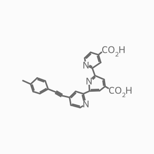 Cc1ccc(C#Cc2ccnc(-c3cc(C(=O)O)cc(-c4cc(C(=O)O)ccn4)n3)c2)cc1